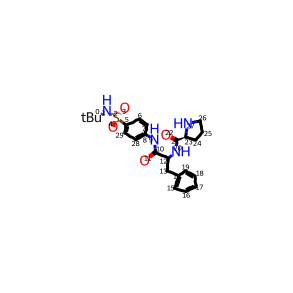 CC(C)(C)NS(=O)(=O)c1ccc(NC(=O)C(Cc2ccccc2)NC(=O)[C@@H]2CCCN2)cc1